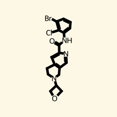 O=C(Nc1cccc(Br)c1Cl)c1cc2c(cn1)CN(C1COC1)CC2